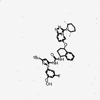 C[C@@H]1CCC[C@H](C)N1c1nnc2ccc(O[C@@H]3CC[C@H](NC(=O)Nc4cc(C(C)(C)C)nn4-c4cc(F)cc(OO)c4)c4ccccc43)cn12